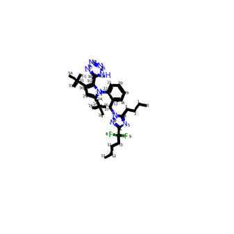 CCCCc1nc(C(F)(F)CCCC)nn1Cc1ccccc1-n1c(C(C)(C)C)cc(C(C)(C)C)c1-c1nnn[nH]1